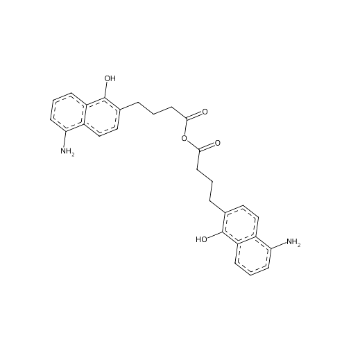 Nc1cccc2c(O)c(CCCC(=O)OC(=O)CCCc3ccc4c(N)cccc4c3O)ccc12